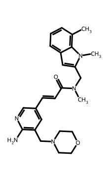 Cc1cccc2cc(CN(C)C(=O)C=Cc3cnc(N)c(CN4CCOCC4)c3)n(C)c12